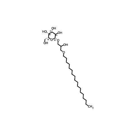 CCCCCCCCCCCCCCCCCCOCC(O)CO[C@@H]1O[C@H](CO)[C@H](O)[C@H](O)[C@H]1O